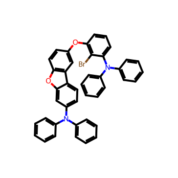 Brc1c(Oc2ccc3oc4cc(N(c5ccccc5)c5ccccc5)ccc4c3c2)cccc1N(c1ccccc1)c1ccccc1